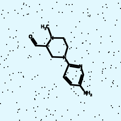 CN1CCN(c2ccc(N)cn2)CC1C=O